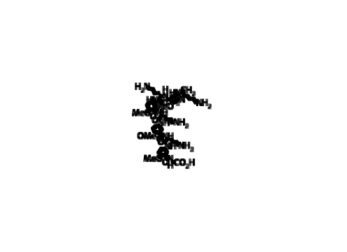 C=C(Nc1ccc(OC)c(C(=O)N[C@@H](CCCCN)C(=O)Nc2ccc(OC)c(C(=O)N[C@@H](CCCCN)C(=O)Nc3ccc(OC)c(C(=O)N[C@@H](CCCCN)C(=O)Nc4ccc(OC)c(C(=O)NCC(=O)O)c4)c3)c2)c1)[C@@H](N)CCCCN